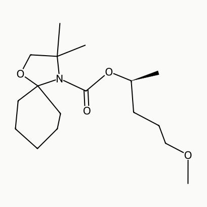 COCCC[C@H](C)OC(=O)N1C(C)(C)COC12CCCCC2